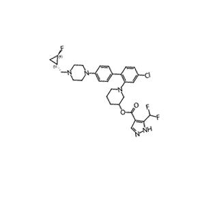 O=C(OC1CCCN(c2cc(Cl)ccc2-c2ccc(N3CCN(C[C@@H]4C[C@H]4F)CC3)cc2)C1)c1cn[nH]c1C(F)F